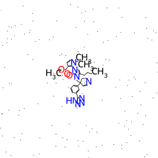 CCCCc1cn(-c2c(C(=O)OC)ccn2C(C)C)c(=O)n1CC1(c2cccc(-c3nnn[nH]3)c2)C=CN=CC1